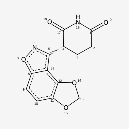 O=C1CC[C@H](c2noc3ccc4c(c23)OCO4)C(=O)N1